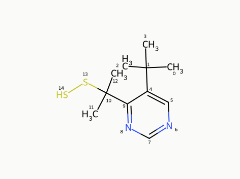 CC(C)(C)c1cncnc1C(C)(C)SS